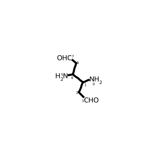 NC(CC=O)C(N)CC=O